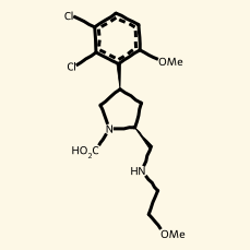 COCCNC[C@@H]1C[C@H](c2c(OC)ccc(Cl)c2Cl)CN1C(=O)O